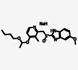 CCCCOC(C)Oc1ccnc(C[S+]([O-])c2nc3cc(OC)ccc3[nH]2)c1C.[NaH]